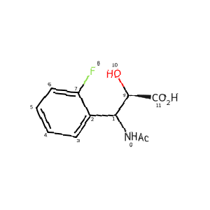 CC(=O)NC(c1ccccc1F)[C@@H](O)C(=O)O